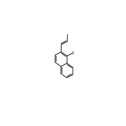 CC=Cc1ccc2ccccc2c1I